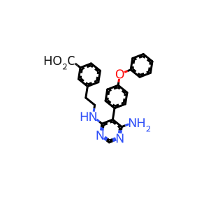 Nc1ncnc(NCCc2cccc(C(=O)O)c2)c1-c1ccc(Oc2ccccc2)cc1